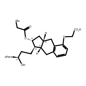 CCCCC[C@H](O)CC[C@@H]1[C@H]2Cc3cccc(OCC(=O)O)c3C[C@H]2C[C@H]1OC(=O)CC(C)(C)C